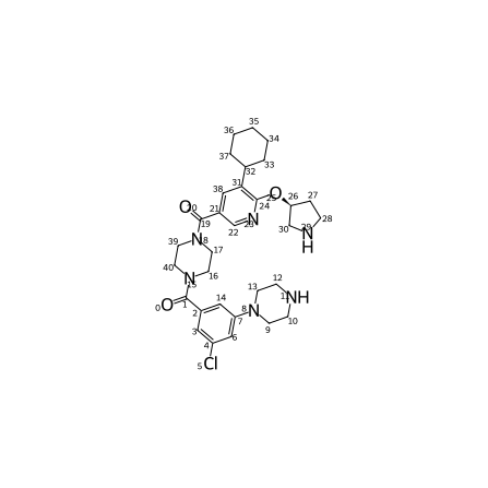 O=C(c1cc(Cl)cc(N2CCNCC2)c1)N1CCN(C(=O)c2cnc(O[C@H]3CCNC3)c(C3CCCCC3)c2)CC1